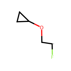 F[CH]COC1CC1